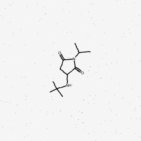 CC(C)N1C(=O)CC(NC(C)(C)C)C1=O